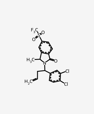 C=CCC(c1ccc(Cl)c(Cl)c1)N1C(=O)c2ccc(S(=O)(=O)C(F)(F)F)cc2C1C